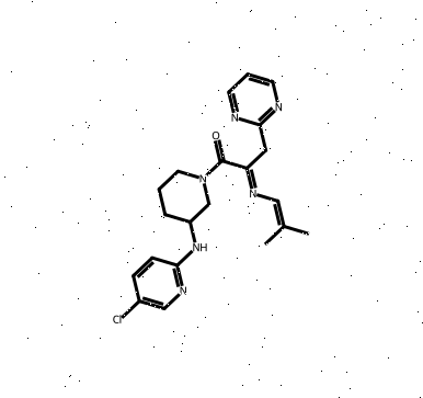 CC(C)=C/N=C(\Cc1ncccn1)C(=O)N1CCCC(Nc2ccc(Cl)cn2)C1